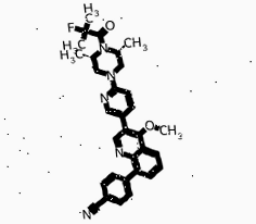 COc1c(-c2ccc(N3C[C@@H](C)N(C(=O)C(C)(C)F)[C@@H](C)C3)nc2)cnc2c(-c3ccc(C#N)cc3)cccc12